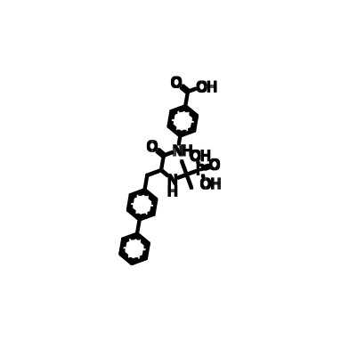 CC(C)(NC(Cc1ccc(-c2ccccc2)cc1)C(=O)Nc1ccc(C(=O)O)cc1)P(=O)(O)O